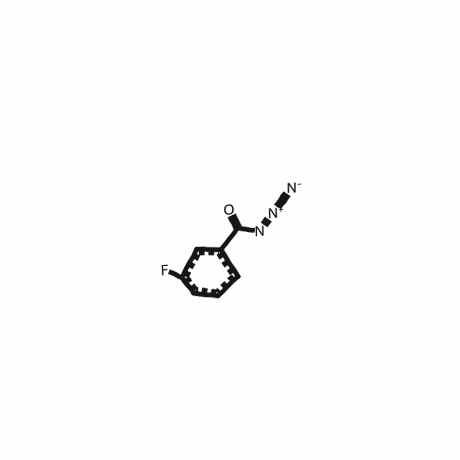 [N-]=[N+]=NC(=O)c1cccc(F)c1